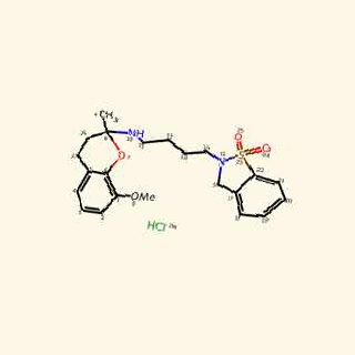 COc1cccc2c1OC(C)(NCCCCN1Cc3ccccc3S1(=O)=O)CC2.Cl